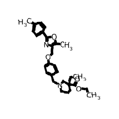 CCOC(=O)C1(CC)CCCN(Cc2ccc(OCc3nc(-c4ccc(C)cc4)oc3C)cc2)C1